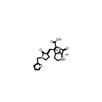 O=C(O)C1=C(/C=C2\CCN(Cc3cccs3)C2=O)C2CCN[C@@H]3C(=O)N1[C@H]23